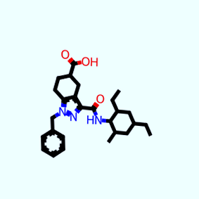 CCC1CC(C)C(NC(=O)c2nn(Cc3ccccc3)c3c2CC(C(=O)O)CC3)C(CC)C1